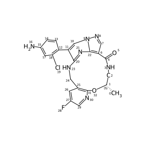 C[C@H]1CNC(=O)c2cnn3cc(-c4ccc(N)cc4Cl)c(nc23)NCc2cc(F)cnc2O1